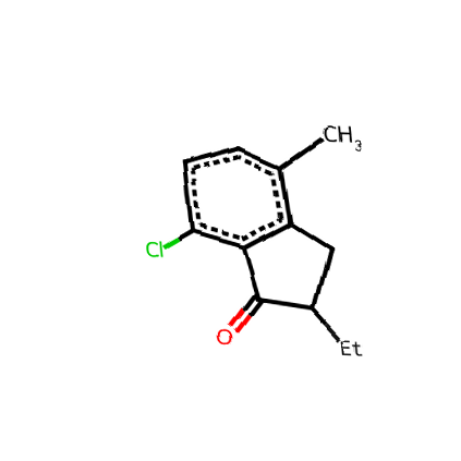 CCC1Cc2c(C)ccc(Cl)c2C1=O